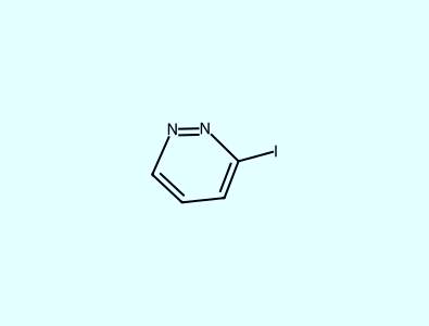 Ic1cccnn1